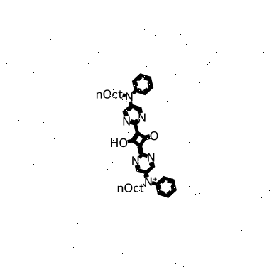 CCCCCCCCN(c1ccccc1)c1cnc(C2=C(O)C(=C3N=CC(=[N+](CCCCCCCC)c4ccccc4)C=N3)C2=O)nc1